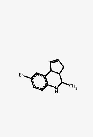 CC1Nc2ccc(Br)cc2C2C=CCC12